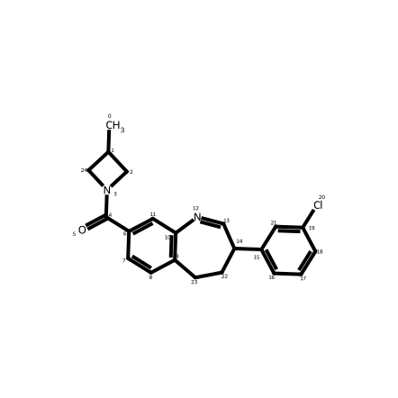 CC1CN(C(=O)c2ccc3c(c2)N=CC(c2cccc(Cl)c2)CC3)C1